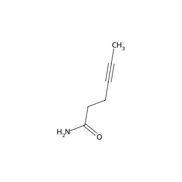 CC#CCCC(N)=O